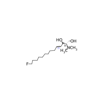 CN(C)[C@@H](CO)[C@H](O)/C=C/CCCCCCCCCF